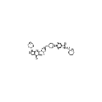 CC1CN(CC2CCN(c3ncc(C(=O)NOC4CCCCO4)cn3)CC2)CC1c1nc2c(cnn2C2CCOCC2)c(=O)[nH]1